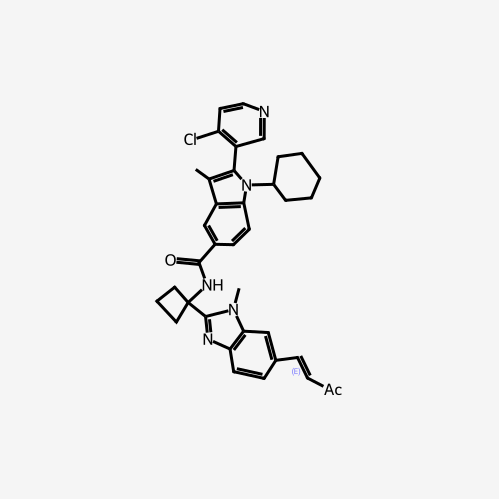 CC(=O)/C=C/c1ccc2nc(C3(NC(=O)c4ccc5c(c4)c(C)c(-c4cnccc4Cl)n5C4CCCCC4)CCC3)n(C)c2c1